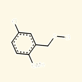 COc1ccc(Cl)cc1CSCl